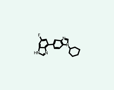 Fc1cc(-c2ccc3c(c2)ncn3C2CCCCC2)c2nc[nH]c2c1